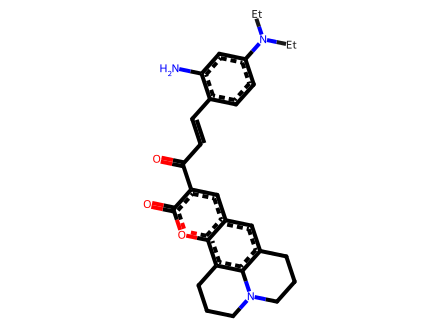 CCN(CC)c1ccc(C=CC(=O)c2cc3cc4c5c(c3oc2=O)CCCN5CCC4)c(N)c1